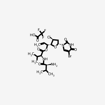 C=CC(OC(=O)[C@@H](NC(=O)[C@@H](N)C(C)C)C(C)C)[C@H]1O[C@@H](n2cc(Br)c(=O)[nH]c2=O)C[C@@H]1Cl.O=C(O)C(F)(F)F